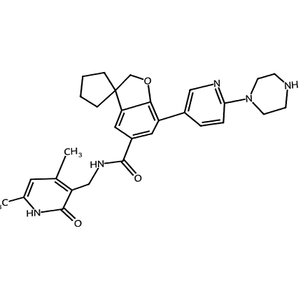 Cc1cc(C)c(CNC(=O)c2cc(-c3ccc(N4CCNCC4)nc3)c3c(c2)C2(CCCC2)CO3)c(=O)[nH]1